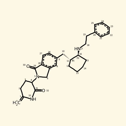 C=C1CCC(N2Cc3cc(C[C@H]4CCCC[C@@H]4NCCc4ccccc4)ccc3C2=O)C(=O)N1